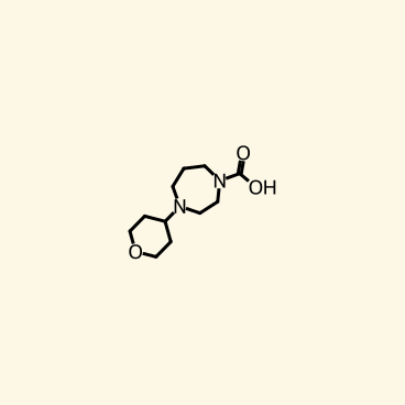 O=C(O)N1CCCN(C2CCOCC2)CC1